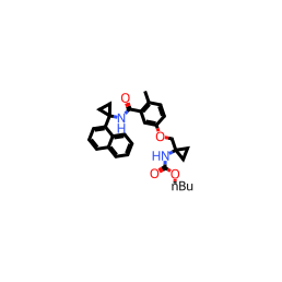 CCCCOC(=O)NC1(COc2ccc(C)c(C(=O)NC3(c4cccc5ccccc45)CC3)c2)CC1